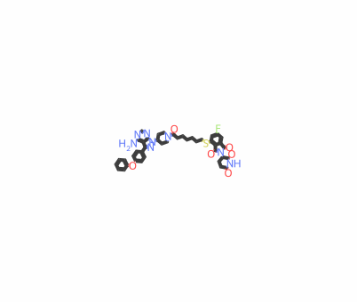 Nc1ncnc2c1c(-c1ccc(Oc3ccccc3)cc1)nn2C1CCN(C(=O)CCCCCCSc2cc(F)cc3c2C(=O)N(C2CCC(=O)NC2=O)C3=O)CC1